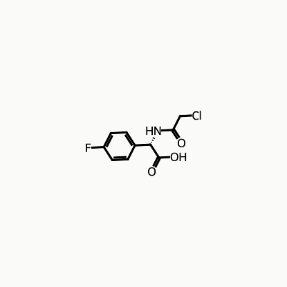 O=C(CCl)N[C@H](C(=O)O)c1ccc(F)cc1